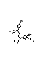 CC(C)C1CN(C(C)CCC(C)N2CC(C)(C(C)C)C2)C1